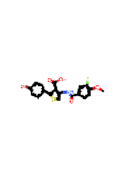 COc1ccc(C(=O)Nc2csc(-c3ccc(Br)cc3)c2C(=O)O)cc1F